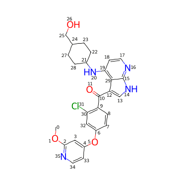 COc1cc(Oc2ccc(C(=O)c3c[nH]c4nccc(NC5CCC(CO)CC5)c34)c(Cl)c2)ccn1